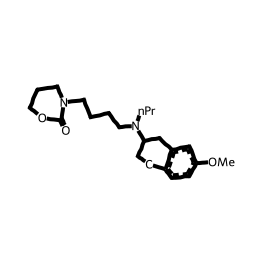 CCCN(CCCCN1CCCOC1=O)C1CCc2ccc(OC)cc2C1